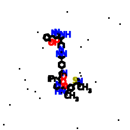 Cc1ncsc1-c1ccc([C@H](C)NC(=O)[C@@H]2CCCN2C(=O)[C@H](c2cc([C@H]3CC[C@@H](c4cnc(N5CCC(c6c[nH]c7nnc(-c8ccccc8O)cc67)CC5)nc4)CC3)no2)C(C)C)cc1